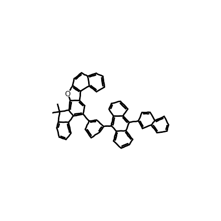 CC1(C)c2ccccc2-c2c(-c3cccc(-c4c5ccccc5c(-c5ccc6ccccc6c5)c5ccccc45)c3)cc3c(oc4ccc5ccccc5c43)c21